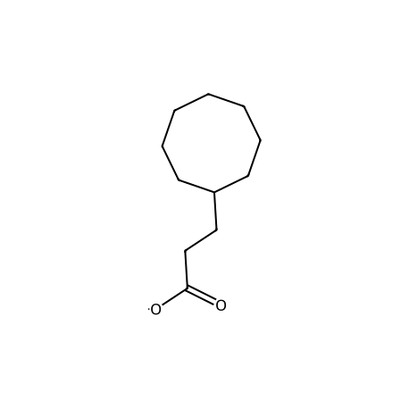 [O]C(=O)CCC1CCCCCCC1